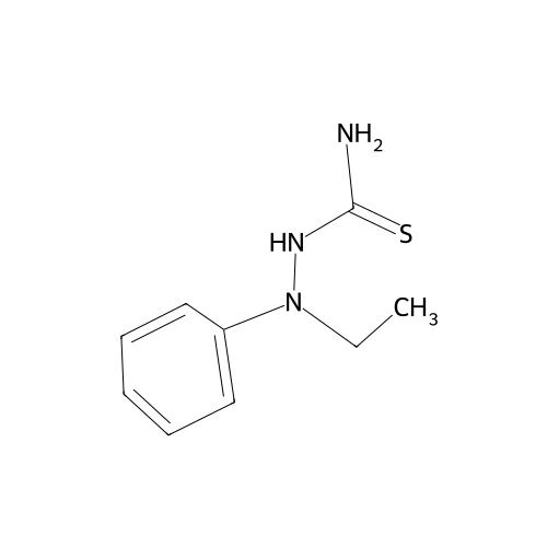 CCN(NC(N)=S)c1ccccc1